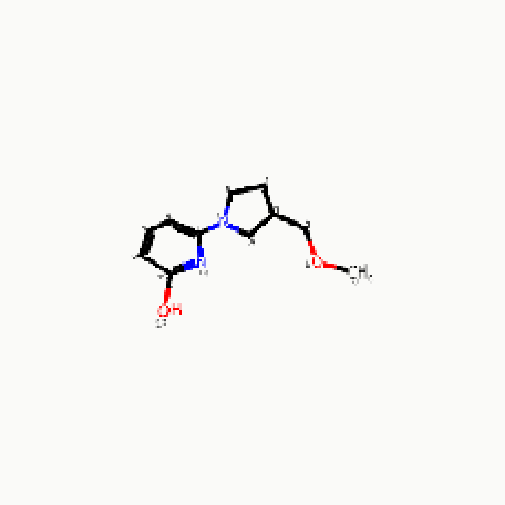 COCC1CCN(c2cccc(O)n2)C1